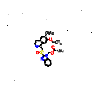 COc1cc2ccnc(C[S+]([O-])c3nc4ccccc4n3COC(=O)C(C)(C)C)c2cc1OCC(F)(F)F